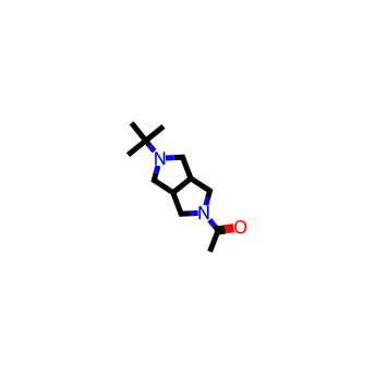 CC(=O)N1CC2CN(C(C)(C)C)CC2C1